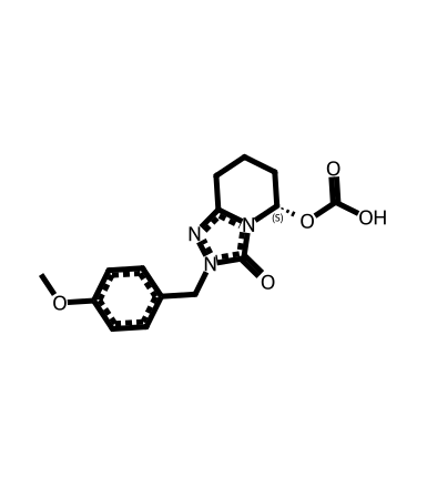 COc1ccc(Cn2nc3n(c2=O)[C@@H](OC(=O)O)CCC3)cc1